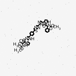 COC(=O)N[C@H](C(=O)N1CCC[C@H]1c1ncc(-c2ccc(-c3cn4cc(-c5ncc(C6CCCN6C(=O)[C@H](NC(=O)OC)c6ccccc6)[nH]5)nc4s3)cc2)[nH]1)C(C)C